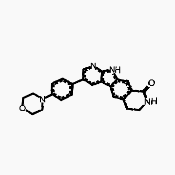 O=C1NCCc2cc3c(cc21)[nH]c1ncc(-c2ccc(N4CCOCC4)cc2)cc13